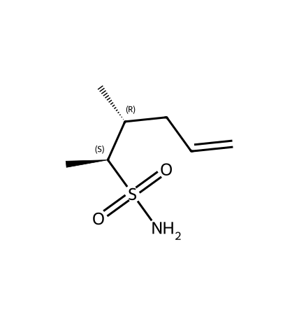 C=CC[C@@H](C)[C@H](C)S(N)(=O)=O